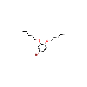 CCCCCOc1ccc(Br)cc1OCCCCC